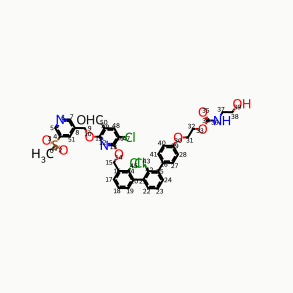 CS(=O)(=O)c1cncc(COc2nc(OCc3cccc(-c4cccc(-c5ccc(OCCOC(=O)NCCO)cc5)c4Cl)c3Cl)c(Cl)cc2C=O)c1